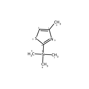 Cc1csc([Si](C)(C)C)n1